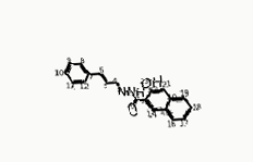 O=C(NN=CC=Cc1ccccc1)c1cc2ccccc2cc1O